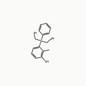 Cc1c(S)cccc1[Si](CC(C)C)(CC(C)C)c1ccccc1